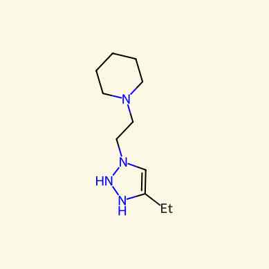 CCC1=CN(CCN2CCCCC2)NN1